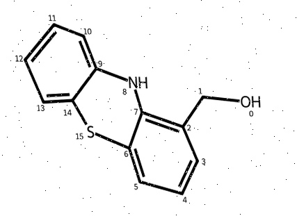 OCc1cccc2c1Nc1ccccc1S2